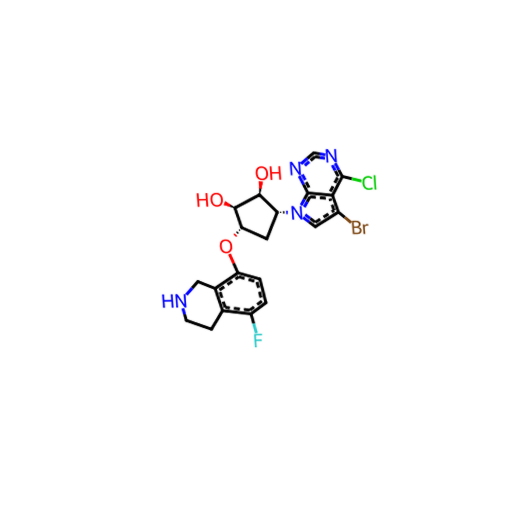 O[C@@H]1[C@H](O)[C@@H](Oc2ccc(F)c3c2CNCC3)C[C@H]1n1cc(Br)c2c(Cl)ncnc21